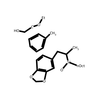 CCCCCCCC[S+]([O-])C(C)Cc1ccc2c(c1)OCO2.CCOCCO.Cc1ccccc1